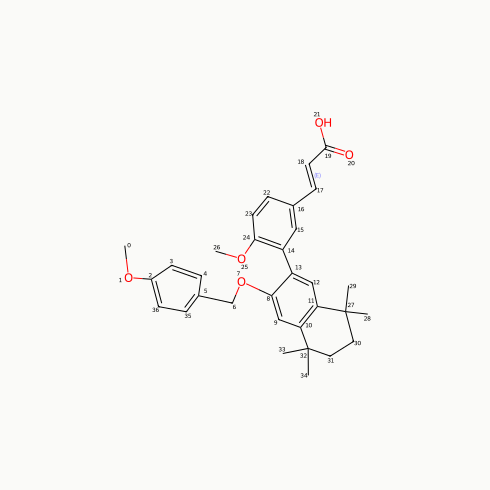 COc1ccc(COc2cc3c(cc2-c2cc(/C=C/C(=O)O)ccc2OC)C(C)(C)CCC3(C)C)cc1